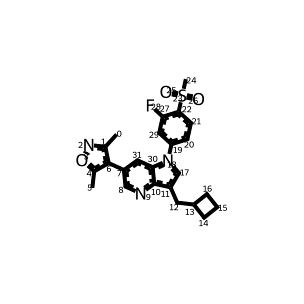 Cc1noc(C)c1-c1cnc2c(CC3CCC3)cn(-c3ccc(S(C)(=O)=O)c(F)c3)c2c1